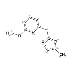 COc1cccc(Cc2nc(C)co2)c1